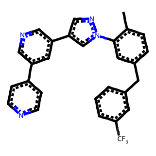 Cc1ccc(Cc2cccc(C(F)(F)F)c2)cc1-n1cc(-c2cncc(-c3ccncc3)c2)cn1